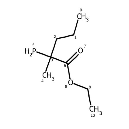 CCCC(C)(P)C(=O)OCC